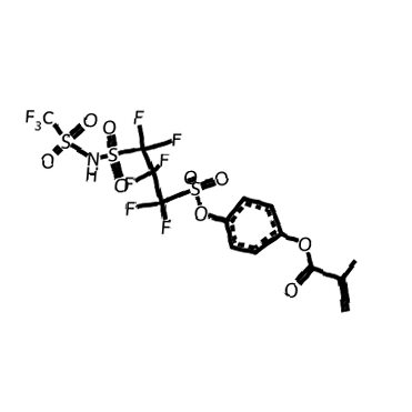 C=C(C)C(=O)Oc1ccc(OS(=O)(=O)C(F)(F)C(F)(F)C(F)(F)S(=O)(=O)NS(=O)(=O)C(F)(F)F)cc1